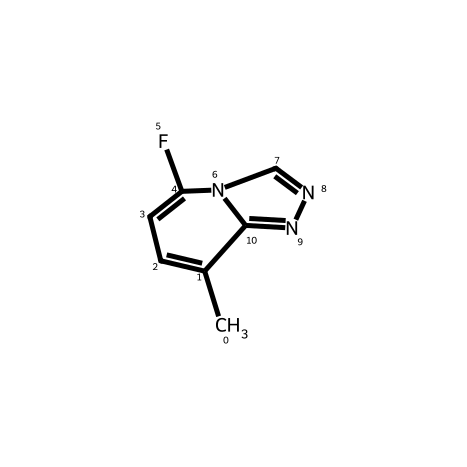 Cc1ccc(F)n2cnnc12